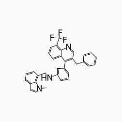 Cn1ccc2cccc(CNc3cccc(-c4c(Cc5ccccc5)cnc5c(C(F)(F)F)cccc45)c3)c21